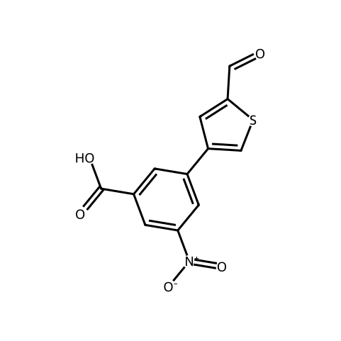 O=Cc1cc(-c2cc(C(=O)O)cc([N+](=O)[O-])c2)cs1